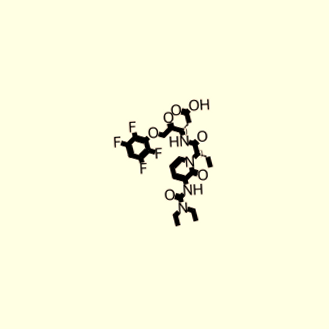 CC[C@@H](C(=O)N[C@@H](CC(=O)O)C(=O)COc1c(F)c(F)cc(F)c1F)n1cccc(NC(=O)N(CC)CC)c1=O